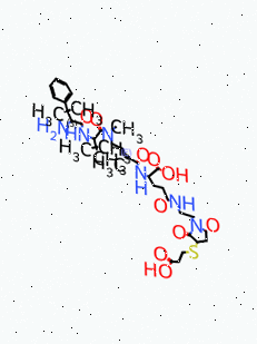 C/C(=C\CN(C)C(=O)C(NC(=O)[C@@H](N)C(C)(C)c1ccccc1)C(C)(C)C)C(=O)NC(CCC(=O)NCCN1C(=O)CC(SCCC(=O)O)C1=O)C(=O)O